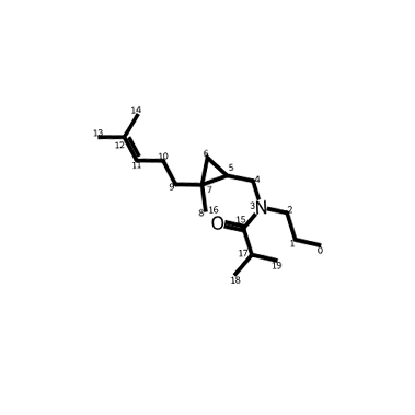 CCCN(CC1CC1(C)CCC=C(C)C)C(=O)C(C)C